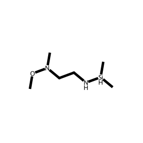 CON(C)CCN[SiH](C)C